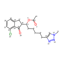 CC(=O)OC(CCCCCc1cn(C)nn1)C1Cc2cccc(Cl)c2C1=O